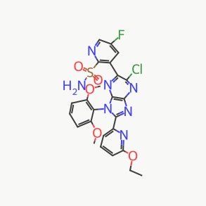 CCOc1cccc(-c2nc3nc(Cl)c(-c4cc(F)cnc4S(N)(=O)=O)nc3n2-c2c(OC)cccc2OC)n1